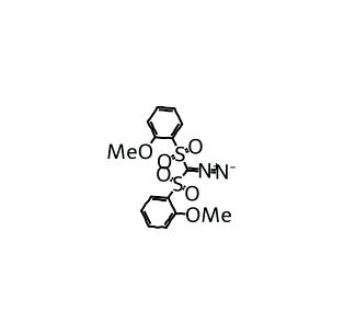 COc1ccccc1S(=O)(=O)C(=[N+]=[N-])S(=O)(=O)c1ccccc1OC